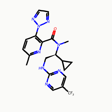 Cc1ccc(-n2nccn2)c(C(=O)N(C)[C@H](CNc2ncc(C(F)(F)F)cn2)C2CC2)n1